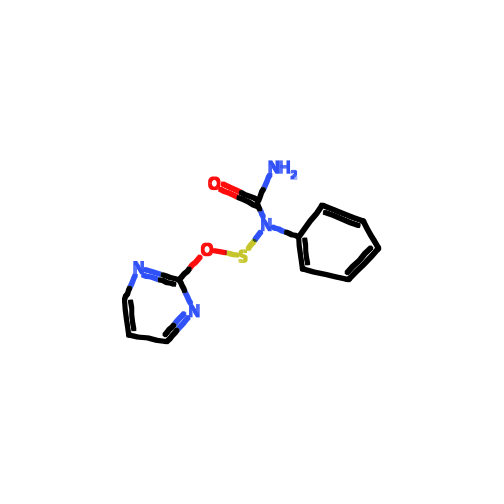 NC(=O)N(SOc1ncccn1)c1ccccc1